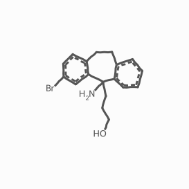 NC1(CCCO)c2ccccc2CCc2ccc(Br)cc21